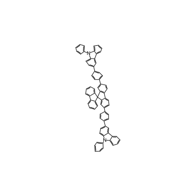 c1ccc(-n2c3ccccc3c3cc(-c4ccc(-c5ccc6c(c5)C5(c7ccccc7-c7ccccc75)c5cc(-c7ccc(-c8ccc9c(c8)c8ccccc8n9-c8ccccc8)cc7)ccc5-6)cc4)ccc32)cc1